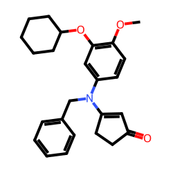 COc1ccc(N(Cc2ccccc2)C2=CC(=O)CC2)cc1OC1CCCCC1